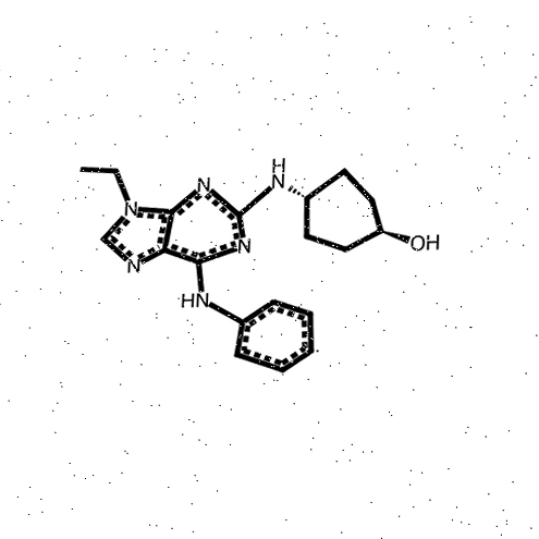 CCn1cnc2c(Nc3cc[c]cc3)nc(N[C@H]3CC[C@H](O)CC3)nc21